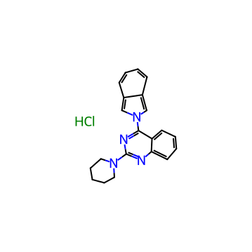 Cl.c1ccc2cn(-c3nc(N4CCCCC4)nc4ccccc34)cc2c1